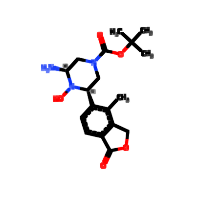 Cc1c([C@@H]2CN(C(=O)OC(C)(C)C)C[C@H](N)N2O)ccc2c1COC2=O